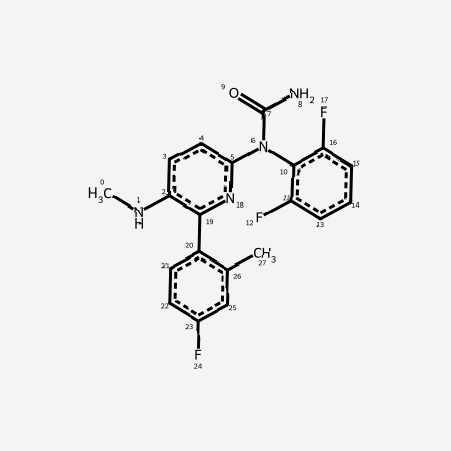 CNc1ccc(N(C(N)=O)c2c(F)cccc2F)nc1-c1ccc(F)cc1C